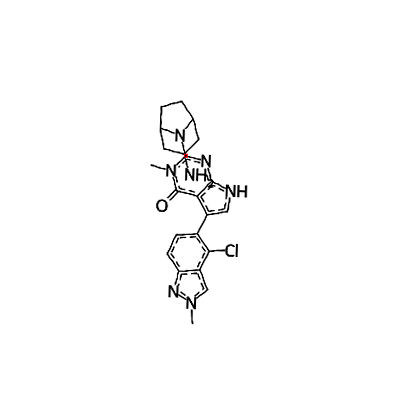 Cn1cc2c(Cl)c(-c3c[nH]c4nc(N5C6CCC5CC(N)C6)n(C)c(=O)c34)ccc2n1